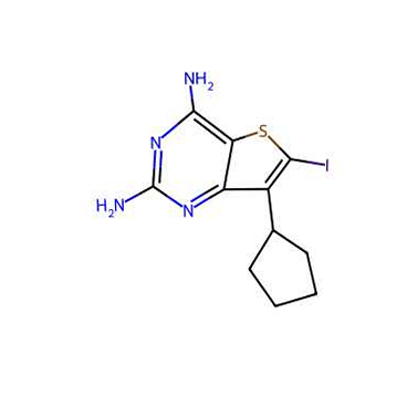 Nc1nc(N)c2sc(I)c(C3CCCC3)c2n1